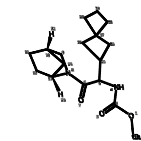 CC(C)(C)OC(=O)NC(C(=O)N1C[C@H]2CC[C@@H]1C2)C1CC2(CCC2)C1